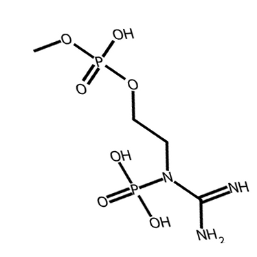 COP(=O)(O)OCCN(C(=N)N)P(=O)(O)O